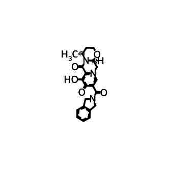 C[C@@H]1CCO[C@H]2Cn3cc(C(=O)N4Cc5ccccc5C4)c(=O)c(O)c3C(=O)N12